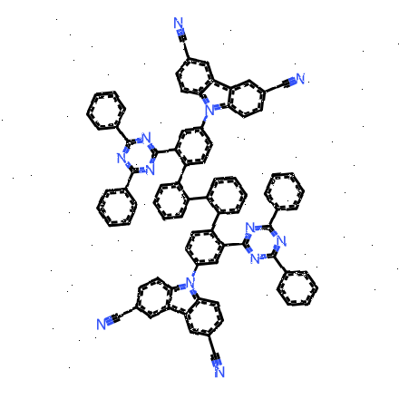 N#Cc1ccc2c(c1)c1cc(C#N)ccc1n2-c1ccc(-c2ccccc2-c2ccccc2-c2ccc(-n3c4ccc(C#N)cc4c4cc(C#N)ccc43)cc2-c2nc(-c3ccccc3)nc(-c3ccccc3)n2)c(-c2nc(-c3ccccc3)nc(-c3ccccc3)n2)c1